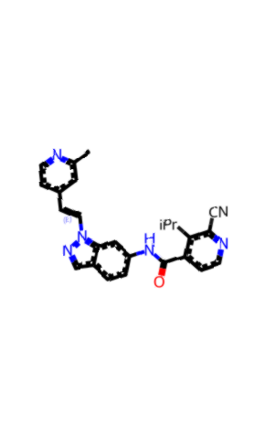 Cc1cc(/C=C/n2ncc3ccc(NC(=O)c4ccnc(C#N)c4C(C)C)cc32)ccn1